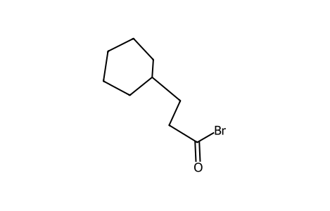 O=C(Br)CCC1CCCCC1